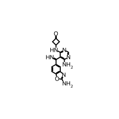 N=C(c1ccc2oc(N)nc2c1)c1c(N)ncnc1NC1CC(=O)C1